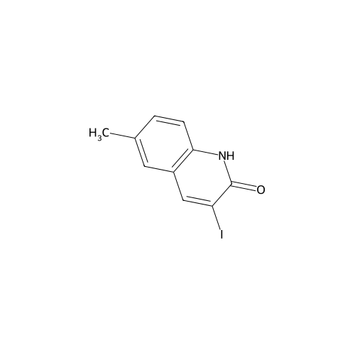 Cc1ccc2[nH]c(=O)c(I)cc2c1